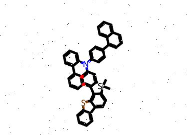 C[Si]1(C)c2cc(N(c3ccc(-c4cccc5ccccc45)cc3)c3ccccc3-c3ccccc3)ccc2-c2c1ccc1c2sc2ccccc21